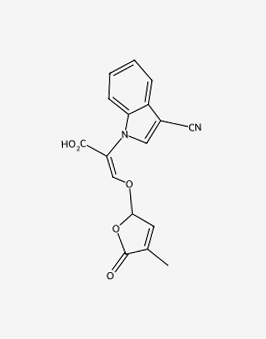 CC1=CC(O/C=C(/C(=O)O)n2cc(C#N)c3ccccc32)OC1=O